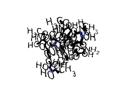 CCC(O)/C(O)=C(/O)C(O)OCOCC1OC(O)C(NC(C)=O)C(O)C1OC(O)/C(NC(C)=O)=C(/O)C(CCO)OC1OC(CO)C(OC(O)/C(NC(C)=O)=C(/O)C(CCO)OC2OC(COC(C)=O)C(O)C(O)C2N)C(O)C1NC(C)=O